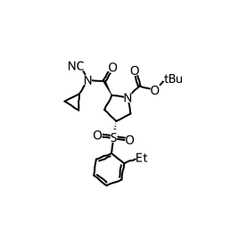 CCc1ccccc1S(=O)(=O)[C@@H]1C[C@@H](C(=O)N(C#N)C2CC2)N(C(=O)OC(C)(C)C)C1